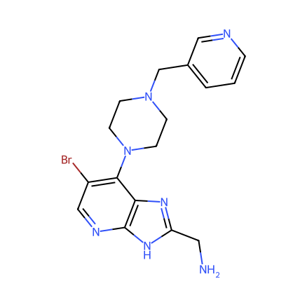 NCc1nc2c(N3CCN(Cc4cccnc4)CC3)c(Br)cnc2[nH]1